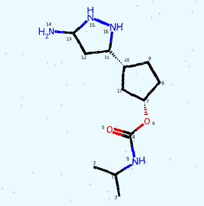 CC(C)NC(=O)O[C@H]1CC[C@@H](C2CC(N)NN2)C1